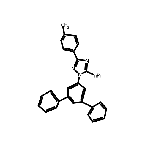 CCCc1nc(-c2ccc(C(F)(F)F)cc2)nn1-c1cc(-c2ccccc2)cc(-c2ccccc2)c1